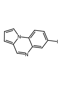 Ic1ccc2c(c1)ncc1cccn12